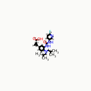 CC(C)CN(CC(C)C)c1ccc([C@@H]2C[C@@H]2C(=O)O)cc1NC(=O)Nc1ccc(F)nc1